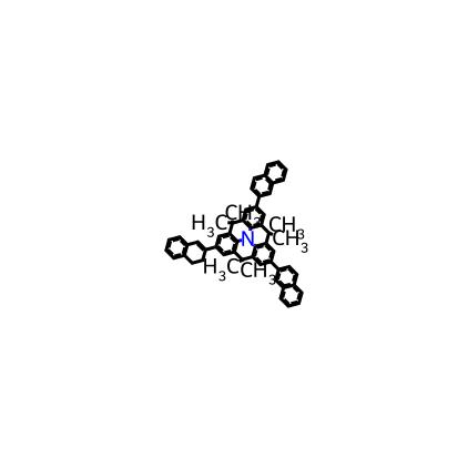 CC1(C)c2cc(C3=Cc4ccccc4CC3)cc3c2N2c4c1cc(-c1ccc5ccccc5c1)cc4C(C)(C)c1cc(-c4ccc5ccccc5c4)cc(c12)C3(C)C